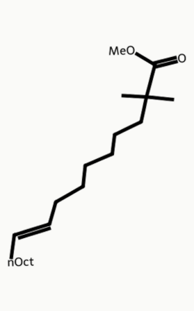 CCCCCCCCC=CCCCCCCC(C)(C)C(=O)OC